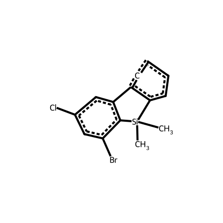 C[Si]1(C)c2ccccc2-c2cc(Cl)cc(Br)c21